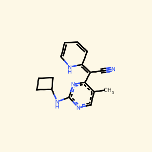 Cc1cnc(NC2CCC2)nc1C(C#N)=C1C=CC=CN1